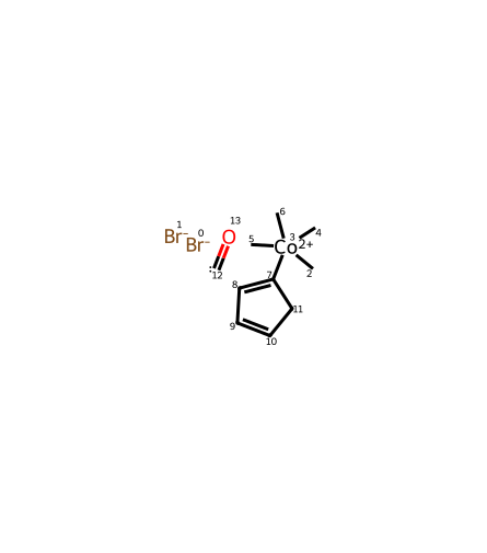 [Br-].[Br-].[CH3][Co+2]([CH3])([CH3])([CH3])[C]1=CC=CC1.[C]=O